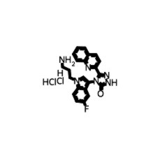 Cl.Cl.NCCCn1cc(-n2c(-c3ccc4ccccc4n3)n[nH]c2=O)c2cc(F)ccc21